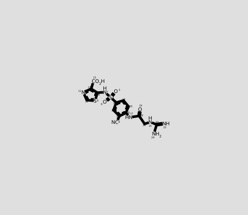 N#Cc1cc(S(=O)(=O)Nc2scnc2C(=O)O)ccc1NC(=O)CNC(=N)N